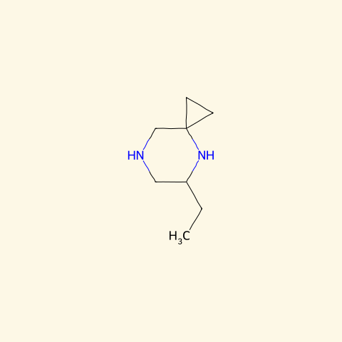 CCC1CNCC2(CC2)N1